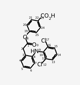 O=C(Cc1ccccc1Nc1c(Cl)cccc1Cl)Oc1ccc(C(=O)O)cc1